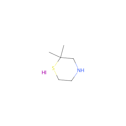 CC1(C)CNCCS1.I